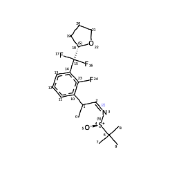 CC(/C=N\[S@+]([O-])C(C)(C)C)c1cccc(C(F)(F)[C@@H]2CCCO2)c1F